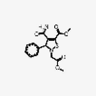 COC(=O)CN1SC(C(=O)OC)=C(C(N)=O)C1c1ccccc1